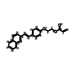 C=CC(=O)OCCOc1ccc(C=Cc2cnc3ccccc3n2)cc1